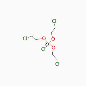 ClCC[O][Zr]([Cl])([O]CCCl)[O]CCCl